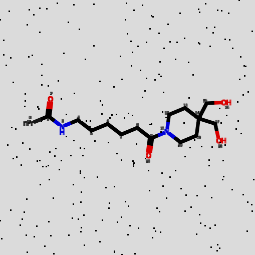 CCCC(=O)NCCCCCC(=O)N1CCC(CO)(CO)CC1